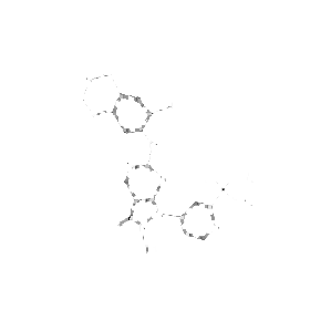 CC(C)n1c(=O)c2cnc(Nc3cc4c(cc3F)CNCC4)nc2n1-c1ccnc(C(C)(C)C#N)c1